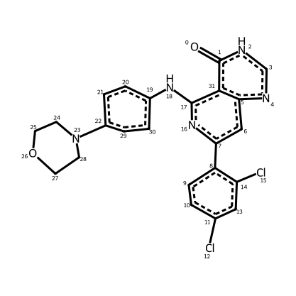 O=c1[nH]cnc2cc(-c3ccc(Cl)cc3Cl)nc(Nc3ccc(N4CCOCC4)cc3)c12